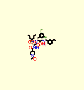 CCCC(CCC)S(=O)(=O)C[C@@H](NC(=O)C1CCN(C(C)=O)CC1)C(=O)N[C@@H](Cc1cc(F)cc(F)c1)[C@H](O)CNCc1cccc(CC)c1